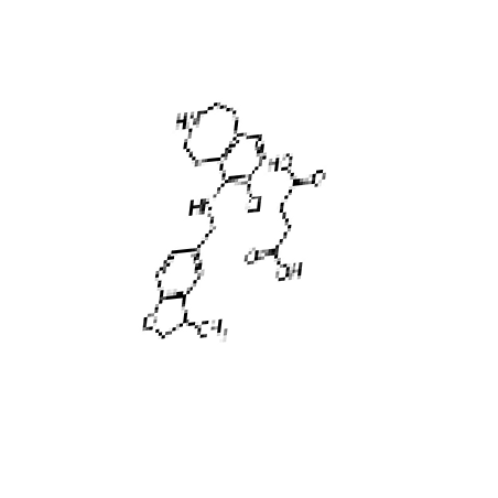 CC1COc2ccc(CNc3c(Cl)ccc4c3CCNCC4)cc21.O=C(O)CCC(=O)O